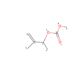 C=C(C)C(C)OC(=O)OC